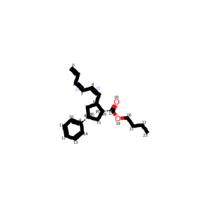 C=C/C=C\C=C/C1C[C@@H](c2ccccc2)C[C@H]1C(=O)OCCCC